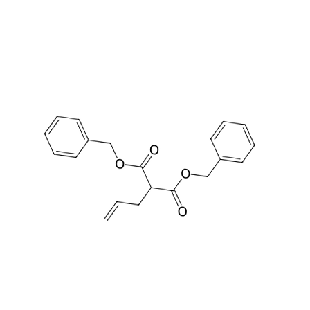 C=CCC(C(=O)OCc1ccccc1)C(=O)OCc1ccccc1